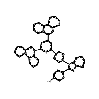 [2H]c1ccc(-c2nc3ccccc3n2-c2ccc(-c3cc(-c4cc5ccccc5c5ccccc45)cc(-c4cc5ccccc5c5ccccc45)n3)cc2)cc1